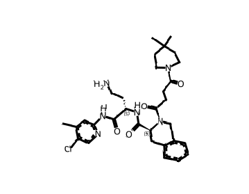 Cc1cc(NC(=O)[C@H](CCN)NC(=O)[C@@H]2Cc3ccccc3CN2C(=O)CCC(=O)N2CCC(C)(C)CC2)ncc1Cl